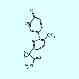 Cc1ccc(C2(C(N)=O)CC2)nc1-c1ccc(=O)[nH]c1